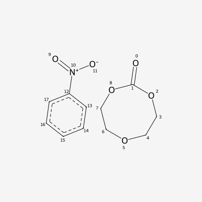 O=C1OCCOCCO1.O=[N+]([O-])c1ccccc1